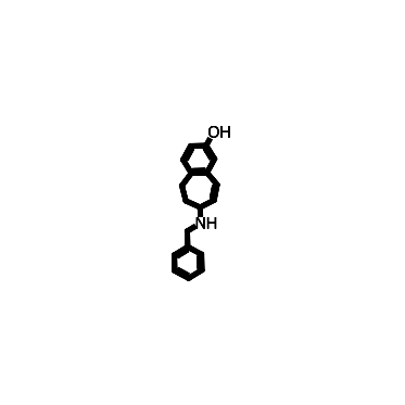 Oc1ccc2c(c1)C=CC(NCc1ccccc1)CC2